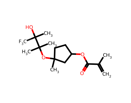 C=C(C)C(=O)OC1CCC(C)(OC(C)(C)C(C)(O)C(F)(F)F)C1